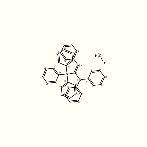 C[O-].c1ccc(N=C(N(c2ccccc2)c2ccccc2)[N+](c2ccccc2)(c2ccccc2)c2ccccc2)cc1